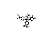 COC(=O)C1CCC(c2c(C(C)(C)O)n(-c3ccc(F)c(F)c3)c3cc4cn[nH]c4cc23)CC1